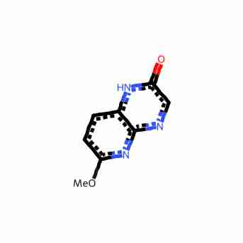 COc1ccc2[nH]c(=O)cnc2n1